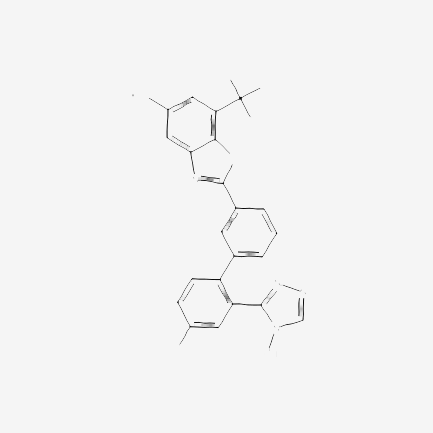 Cn1cnnc1-c1cc(F)ccc1-c1cccc(-c2nc3cc(C=O)cc(C(C)(F)F)c3o2)c1